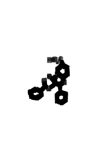 CCOC(=O)c1ccc2nc(-c3ccccc3)c(OC(=O)c3ccccc3)c(=O)n2c1